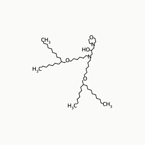 CCCCCCCCCC(CCCCCCC)COCCCCCCN(CCCCCCOCC(CCCCCCC)CCCCCCCCC)CC(O)CN1CCOCC1